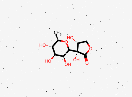 C[C@H]1OC([C@]2(O)C(=O)OC[C@H]2O)[C@@H](O)[C@@H](O)[C@@H]1O